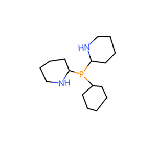 C1CCC(P(C2CCCCN2)C2CCCCN2)CC1